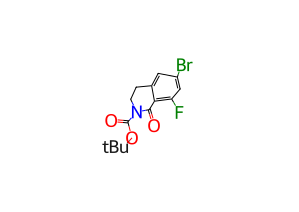 CC(C)(C)OC(=O)N1CCc2cc(Br)cc(F)c2C1=O